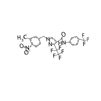 Cc1cc(Cn2cc(C(=O)Nc3ccc(C(F)(F)F)cc3)c(C(F)(F)C(F)(F)F)n2)ccc1[N+](=O)[O-]